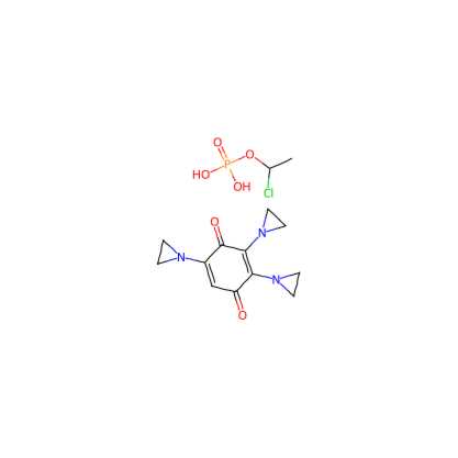 CC(Cl)OP(=O)(O)O.O=C1C=C(N2CC2)C(=O)C(N2CC2)=C1N1CC1